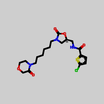 O=C(NC[C@H]1CN(CCCCCCN2CCOCC2=O)C(=O)O1)c1ccc(Cl)s1